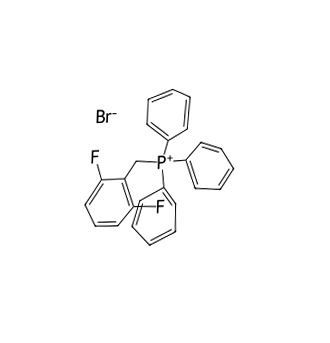 Fc1cccc(F)c1C[P+](c1ccccc1)(c1ccccc1)c1ccccc1.[Br-]